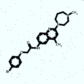 Cc1cc(N2CCCN(C)CC2)nc2ccc(NC(=O)COc3ccc(Br)cc3)cc12